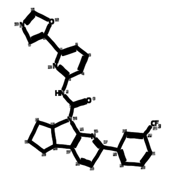 O=C(Nc1cccc(-c2cnco2)n1)N1c2nc(-c3cccc(C(F)(F)F)c3)ccc2C2CCCC21